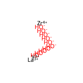 [La+3].[OH-].[OH-].[OH-].[OH-].[OH-].[OH-].[OH-].[OH-].[OH-].[OH-].[Y+3].[Zr+4]